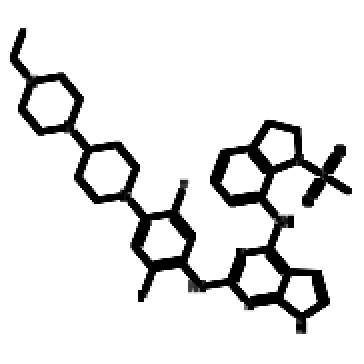 CCN1CCN(C2CCN(c3cc(F)c(Nc4nc(Nc5cccc6c5N(S(C)(=O)=O)CC6)c5cc[nH]c5n4)cc3F)CC2)CC1